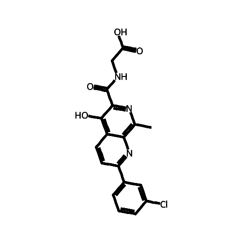 Cc1nc(C(=O)NCC(=O)O)c(O)c2ccc(-c3cccc(Cl)c3)nc12